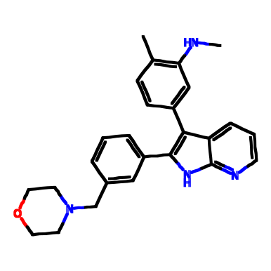 CNc1cc(-c2c(-c3cccc(CN4CCOCC4)c3)[nH]c3ncccc23)ccc1C